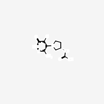 Cc1n[nH]c(=O)c(Cl)c1N1CC[C@@H](NC(=O)O)C1